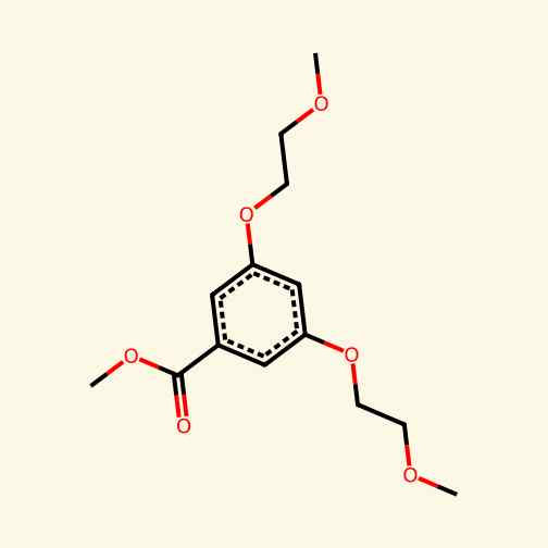 COCCOc1cc(OCCOC)cc(C(=O)OC)c1